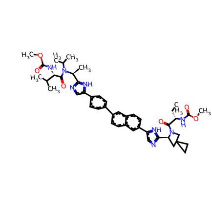 CC[C@H](NC(=O)OC)C(=O)N1CC2(CC2)C[C@H]1c1ncc(-c2ccc3cc(-c4ccc(-c5cnc([C@H](C)N(C(=O)[C@@H](NC(=O)OC)C(C)C)C(C)C)[nH]5)cc4)ccc3c2)[nH]1